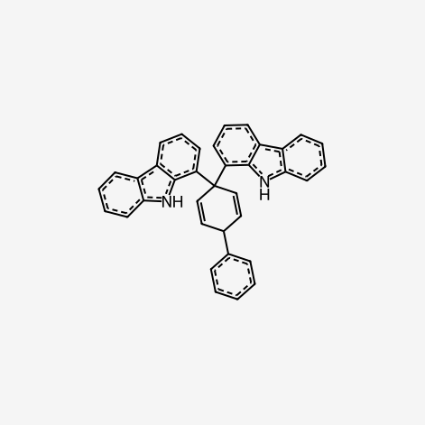 C1=CC(c2cccc3c2[nH]c2ccccc23)(c2cccc3c2[nH]c2ccccc23)C=CC1c1ccccc1